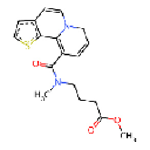 COC(=O)CCCN(C)C(=O)C1=C2c3sccc3C=CN2CC=C1